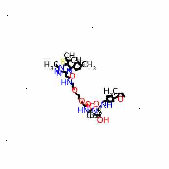 Cc1ccc(C2=NC(CC(=O)NCCOCCCOCC(=O)N[C@H](C(=O)N3C[C@@H](O)C[C@H]3C(=O)NCc3ccc(-c4occc4C)cc3)C(C)(C)C)c3nnc(C)n3-c3sc(C)c(C)c32)cc1